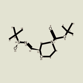 CC(C)(C)OC(=O)N1CCO[C@@H](C=N[S@+]([O-])C(C)(C)C)C1